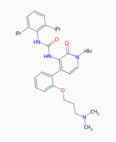 CCCCn1ccc(-c2ccccc2OCCCN(C)C)c(NC(=O)Nc2c(C(C)C)cccc2C(C)C)c1=O